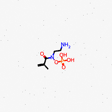 C=C(C)C(=O)N(CCN)OP(=O)(O)O